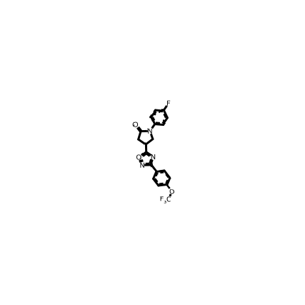 O=C1CC(c2nc(-c3ccc(OC(F)(F)F)cc3)no2)CN1c1ccc(F)cc1